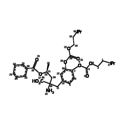 CC(C)CCOC(=O)Oc1ccc(CC(N)(C[C@H](C)OC(=O)c2ccccc2)C(=O)O)cc1OC(=O)OCCC(C)C